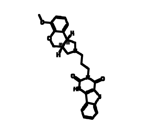 COc1cccc2c1OC[C@H]1CN(CCCn3c(=O)[nH]c4c(sc5ccccc54)c3=O)C[C@@H]21